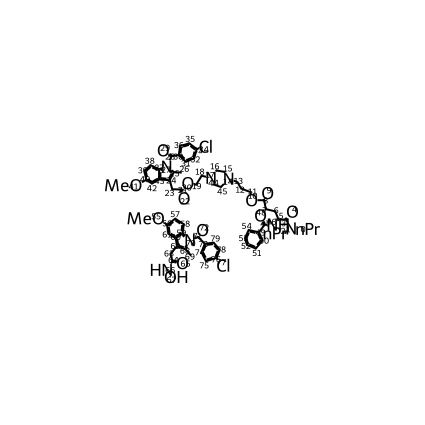 CCCN(CCC)C(=O)C(CCC(=O)OCCCN1CCN(CCOC(=O)Cc2c(C)n(C(=O)c3ccc(Cl)cc3)c3ccc(OC)cc23)CC1)NC(=O)c1ccccc1.COc1ccc2c(c1)c(CC(=O)NO)c(C)n2C(=O)c1ccc(Cl)cc1